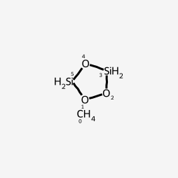 C.O1O[SiH2]O[SiH2]1